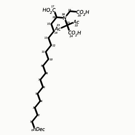 CCCCCCCCCCCCCCCCCCCCCCCCCC(C(=O)O)N(CC(=O)O)C(C(C)=O)(C(C)=O)C(=O)O